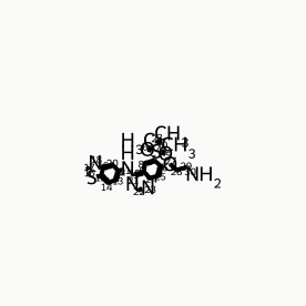 CC(C)(C)S(=O)(=O)c1cc2c(Nc3ccc4scnc4c3)ncnc2cc1OCCN